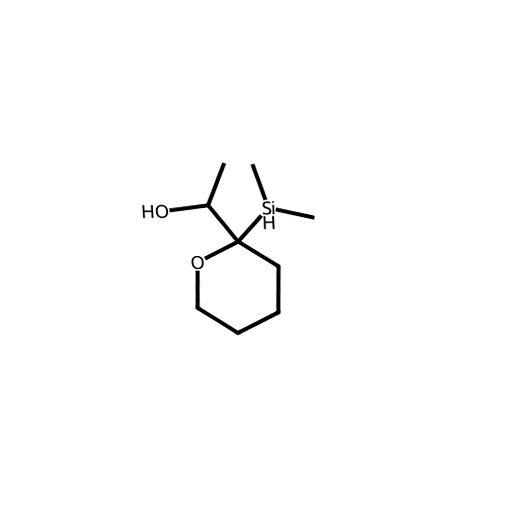 CC(O)C1([SiH](C)C)CCCCO1